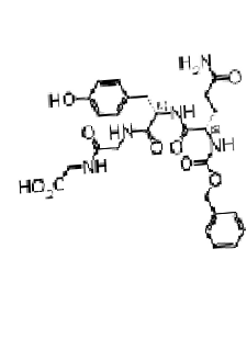 NC(=O)CC[C@H](NC(=O)OCc1ccccc1)C(=O)N[C@@H](Cc1ccc(O)cc1)C(=O)NCC(=O)NCC(=O)O